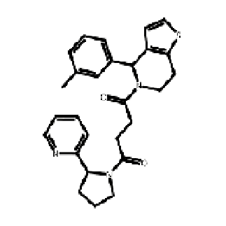 Cc1cccc(C2c3ccsc3CCN2C(=O)CCC(=O)N2CCCC2c2ccccn2)c1